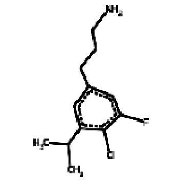 CC(C)c1cc(CCCN)cc(F)c1Cl